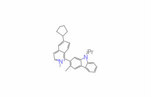 Cc1cc2c3ccccc3n(C(C)C)c2cc1-c1c2ccc(C3CCCC3)cc2cc[n+]1C